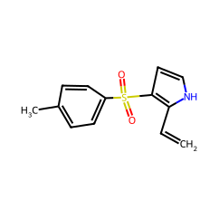 C=Cc1[nH]ccc1S(=O)(=O)c1ccc(C)cc1